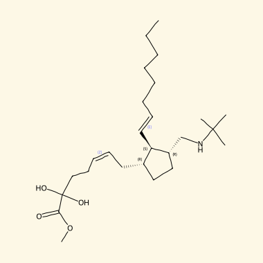 CCCCCC/C=C/[C@@H]1[C@@H](C/C=C\CCC(O)(O)C(=O)OC)CC[C@H]1CNC(C)(C)C